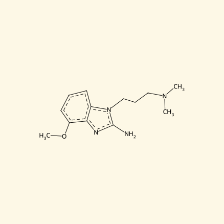 COc1cccc2c1nc(N)n2CCCN(C)C